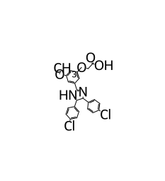 COc1cc(OCC(=O)O)cc(C2=NC(c3ccc(Cl)cc3)C(c3ccc(Cl)cc3)N2)c1